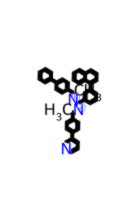 C/C(=N\C(=N/C(C)c1ccc(-c2cccnc2)cc1)c1cccc(-c2cccc3ccccc23)c1)c1ccc(-c2ccccc2)cc1